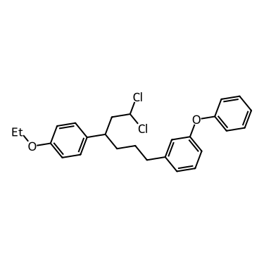 CCOc1ccc(C(CCCc2cccc(Oc3ccccc3)c2)CC(Cl)Cl)cc1